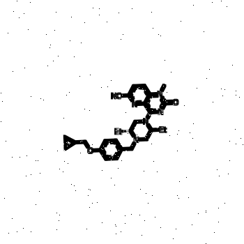 CCC1CN(Cc2ccc(OCC3CC3)cc2)[C@H](CC)CN1c1nc(=O)n(C)c2ccc(C#N)nc12